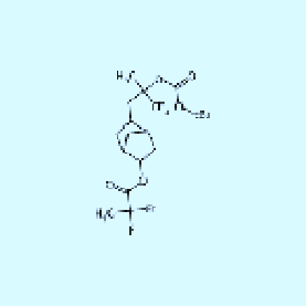 CCC(C)(F)C(=O)OC1CC2CC1CC2CC(C)(OC(=O)OC(C)(C)C)C(F)(F)F